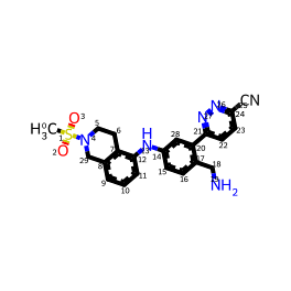 CS(=O)(=O)N1CCc2c(cccc2Nc2ccc(CN)c(-c3ccc(C#N)nn3)c2)C1